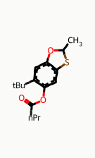 CCCC(=O)Oc1cc2c(cc1C(C)(C)C)OC(C)S2